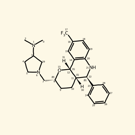 CN(C)C1CCN(C[C@H]2CC[C@@H]3[C@H](O2)c2cc(C(F)(F)F)ccc2N[C@H]3c2ccccc2)C1